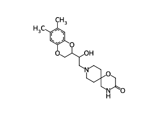 Cc1cc2c(cc1C)OC(C(O)CN1CCC3(CC1)CNC(=O)CO3)CO2